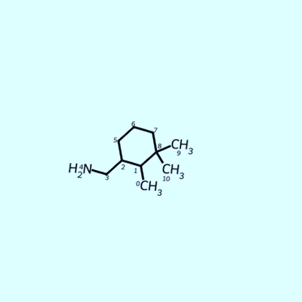 CC1C(CN)CCCC1(C)C